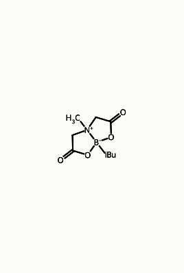 CCC(C)[B-]12OC(=O)C[N+]1(C)CC(=O)O2